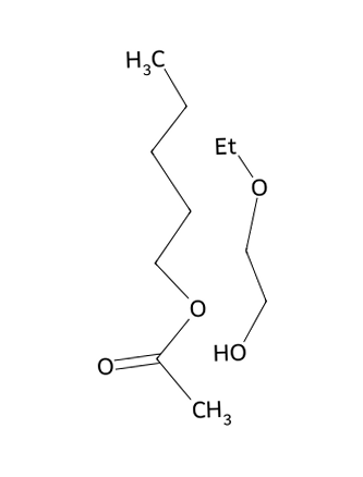 CCCCCOC(C)=O.CCOCCO